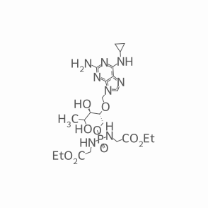 CCOC(=O)CNP(=O)(NCC(=O)OCC)OC[C@@H](OCn1cnc2c(NC3CC3)nc(N)nc21)[C@H](O)C(C)O